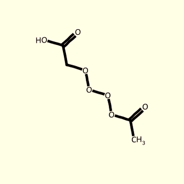 CC(=O)OOOOCC(=O)O